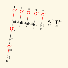 CCCC[O-].CCCC[O-].CCCC[O-].CC[O-].CC[O-].CC[O-].CC[O-].[Al+3].[Ti+4]